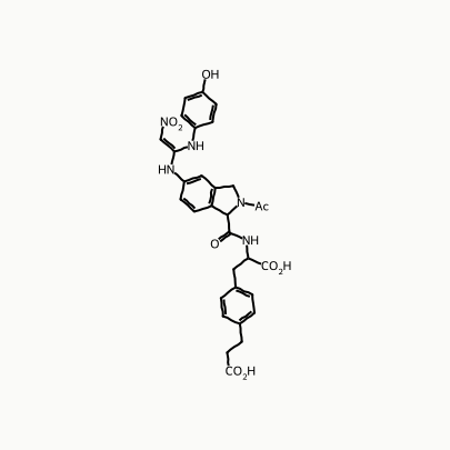 CC(=O)N1Cc2cc(NC(=C[N+](=O)[O-])Nc3ccc(O)cc3)ccc2C1C(=O)NC(Cc1ccc(CCC(=O)O)cc1)C(=O)O